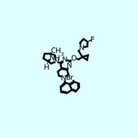 C[C@]12CC[C@H](CN(c3nc(OCC4(CN5CC[C@@H](F)C5)CC4)nc4c3CCN(c3cccc5cccc(Br)c35)C4)C1)N2